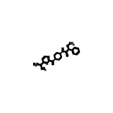 COC(C(=O)N[C@H]1CC[C@@H](Nc2nccc(N(C)C)n2)CC1)c1ccccc1